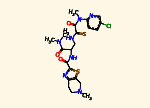 CN1CCc2nc(C(=O)NC(CNC(=S)C(=O)N(C)c3ccc(Cl)cn3)C(=O)N(C)C)sc2C1